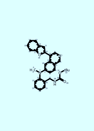 CN(c1ccc2cncc(-c3cc4ccccc4o3)c2c1)c1ccccc1CNC(=O)OC(C)(C)C